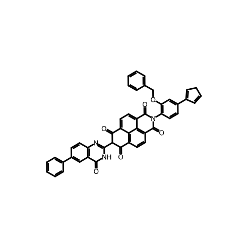 O=C1c2ccc3c4c(ccc(c24)C(=O)C1c1nc2ccc(-c4ccccc4)cc2c(=O)[nH]1)C(=O)N(c1ccc(C2=CCC=C2)cc1OCc1ccccc1)C3=O